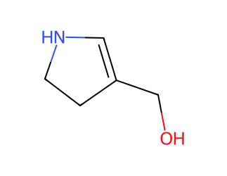 OCC1=CNCC1